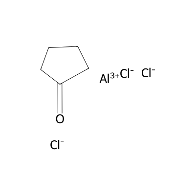 O=C1CCCC1.[Al+3].[Cl-].[Cl-].[Cl-]